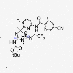 Cc1cc(C#N)cnc1C(=O)Nc1ccc(F)c(C(C)(C)/N=C(/NC(=O)OC(C)(C)C)N(C)/[SH](=O)=N/CC(F)(F)F)n1